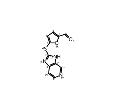 O=Cc1ccc(Sc2nc3ccncc3[nH]2)o1